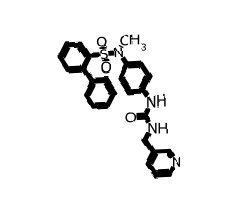 CN(c1ccc(NC(=O)NCc2cccnc2)cc1)S(=O)(=O)c1ccccc1-c1ccccc1